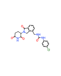 O=C1CCC(N2Cc3c(CNC(=O)Nc4ccc(Cl)cc4)cccc3C2=O)C(=O)N1